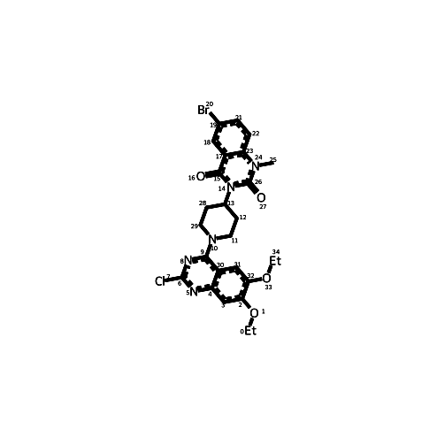 CCOc1cc2nc(Cl)nc(N3CCC(n4c(=O)c5cc(Br)ccc5n(C)c4=O)CC3)c2cc1OCC